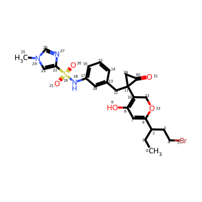 CCC(CCBr)C1=CC(O)=C(C2(Cc3cccc(NS(=O)(=O)c4cn(C)cn4)c3)CC2=O)CO1